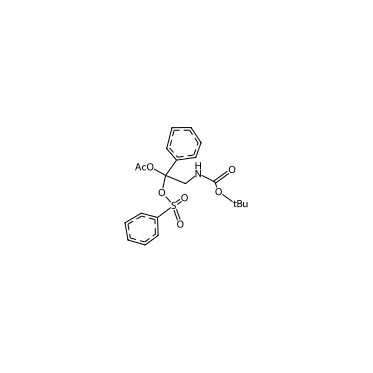 CC(=O)OC(CNC(=O)OC(C)(C)C)(OS(=O)(=O)c1ccccc1)c1ccccc1